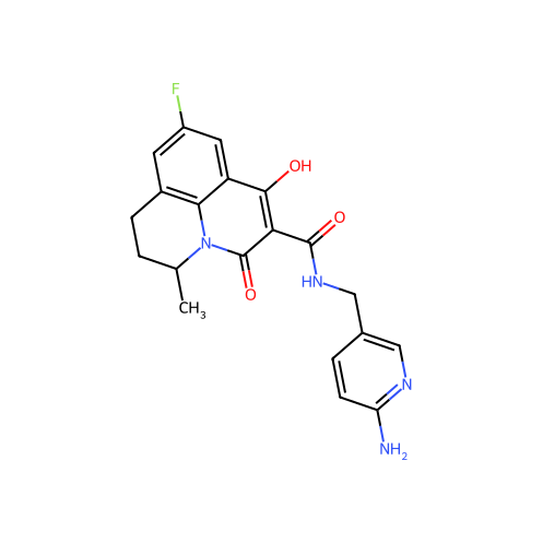 CC1CCc2cc(F)cc3c(O)c(C(=O)NCc4ccc(N)nc4)c(=O)n1c23